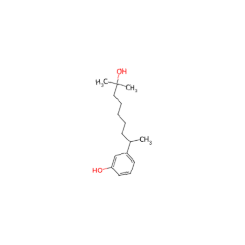 CC(CCCCCC(C)(C)O)c1cccc(O)c1